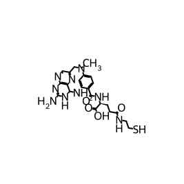 CN(Cc1cnc2c(n1)C(N)NC(N)=N2)c1ccc(C(=O)N[C@@H](CCC(=O)NCCS)C(=O)O)cc1